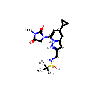 CN1C(=O)CN(c2cc(C3CC3)cc3cc(CN[S+]([O-])C(C)(C)C)nn23)C1=O